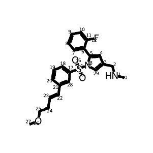 CNCc1cc(-c2ccccc2F)n(S(=O)(=O)c2cccc(/C=C/CCOC)c2)c1